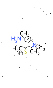 C=CC(CC(=C)N(C)CC1CCC(C(=C)N)CC1)SC(C)C